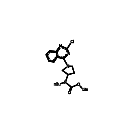 CCCCN(C(=O)OC(C)(C)C)C1CCN(c2nc(Cl)nc3ccccc23)C1